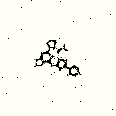 CN(C)C(=O)[C@H]1CCCN1c1nc2c(c(Nc3cc(-c4ccncc4)[nH]n3)n1)CCC2